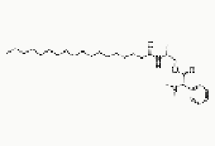 CCCCCCCCCCCCCCCCCC(=O)NC(C)COC(=O)C(c1ccccc1)N(C)C